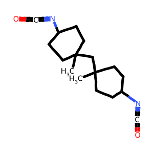 CC1(CC2(C)CCC(N=C=O)CC2)CCC(N=C=O)CC1